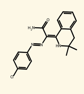 CC1(C)Cc2ccccc2/C(=C(/N=N/c2ccc(Cl)cc2)C(N)=O)N1